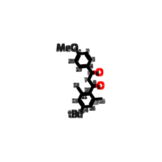 COc1ccc(C(=O)CC(=O)c2c(C)cc(C(C)(C)C)cc2C)cc1